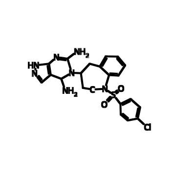 NC1=Nc2[nH]ncc2C(N)N1C1CCN(S(=O)(=O)c2ccc(Cl)cc2)c2ccccc2C1